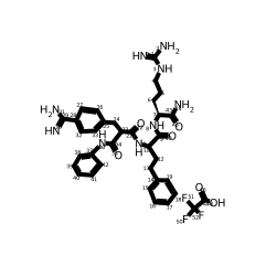 N=C(N)NCCC[C@H](NC(=O)C(CCc1ccccc1)NC(=O)C(Cc1ccc(C(=N)N)cc1)C(=O)Nc1ccccc1)C(N)=O.O=C(O)C(F)(F)F